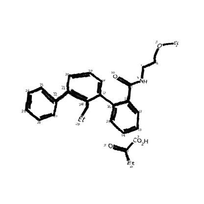 CCC(=O)C(=O)O.CCOCCNC(=O)c1ccccc1-c1cccc(-c2ccccc2)c1CC